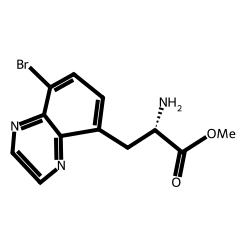 COC(=O)[C@@H](N)Cc1ccc(Br)c2nccnc12